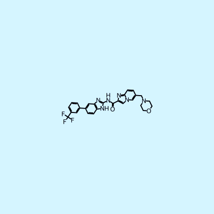 O=C(Nc1nc2cc(-c3cccc(C(F)(F)F)c3)ccc2[nH]1)c1cn2cc(CN3CCOCC3)ccc2n1